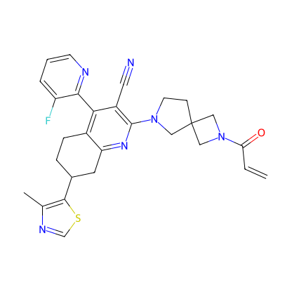 C=CC(=O)N1CC2(CCN(c3nc4c(c(-c5ncccc5F)c3C#N)CCC(c3scnc3C)C4)C2)C1